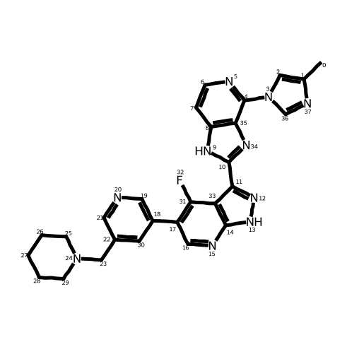 Cc1cn(-c2nccc3[nH]c(-c4n[nH]c5ncc(-c6cncc(CN7CCCCC7)c6)c(F)c45)nc23)cn1